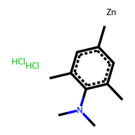 Cc1cc(C)c(N(C)C)c(C)c1.Cl.Cl.[Zn]